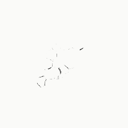 C=CCOC[C@H]1CN(C2=Nc3ccccc3Nc3sc(C)cc32)CCN1C